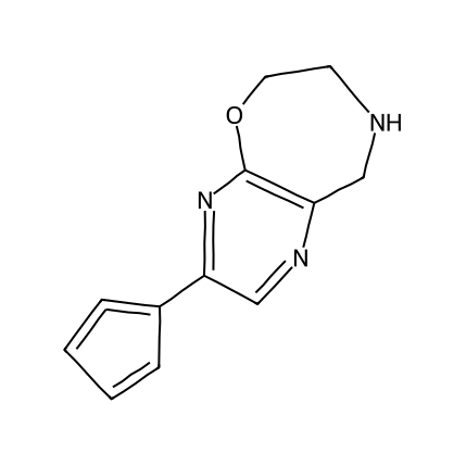 C1=CC=CC=1c1cnc2c(n1)OCCNC2